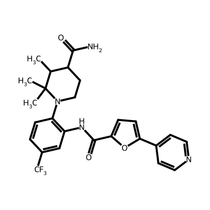 CC1C(C(N)=O)CCN(c2ccc(C(F)(F)F)cc2NC(=O)c2ccc(-c3ccncc3)o2)C1(C)C